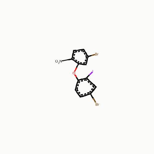 O=[N+]([O-])c1ccc(Br)cc1Oc1ccc(Br)cc1I